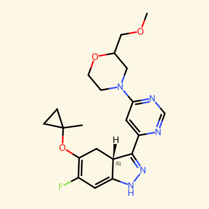 COCC1CN(c2cc(C3=NNC4=CC(F)=C(OC5(C)CC5)C[C@@H]43)ncn2)CCO1